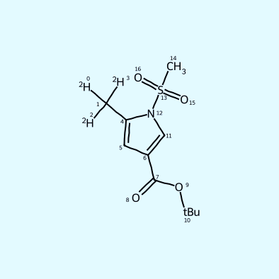 [2H]C([2H])([2H])c1cc(C(=O)OC(C)(C)C)cn1S(C)(=O)=O